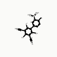 Cc1ccc(-c2c(I)c(C#N)c(I)c(C#N)c2I)cc1[N+](=O)[O-]